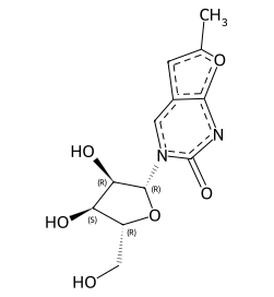 Cc1cc2cn([C@@H]3O[C@H](CO)[C@@H](O)[C@H]3O)c(=O)nc2o1